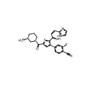 N#Cc1ccc(-c2cc(C(=O)N3CCCC(N)C3)sc2C(=N)/C=C\c2ncc[nH]2)cc1F